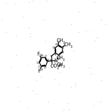 Cc1ccc(CC(C(=O)O)(c2cc(F)cc(F)c2)N(C)C)cc1C